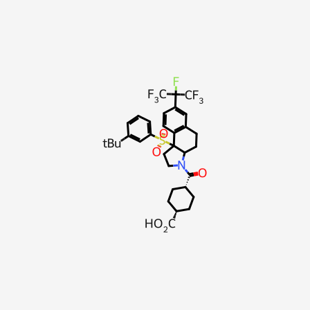 CC(C)(C)c1cccc(S(=O)(=O)C23CCN(C(=O)[C@H]4CC[C@H](C(=O)O)CC4)C2CCc2cc(C(F)(C(F)(F)F)C(F)(F)F)ccc23)c1